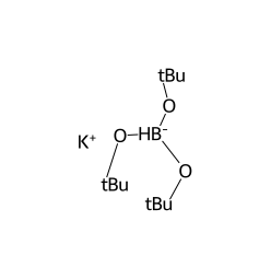 CC(C)(C)O[BH-](OC(C)(C)C)OC(C)(C)C.[K+]